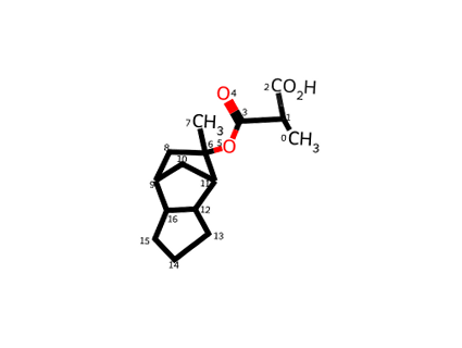 CC(C(=O)O)C(=O)OC1(C)CC2CC1C1CCCC21